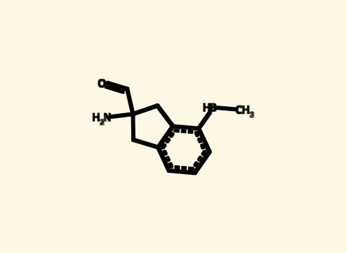 CBc1cccc2c1CC(N)(C=O)C2